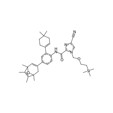 CC1=C(C)C2(C)CC(c3ccc(NC(=O)c4nc(C#N)cn4COCC[Si](C)(C)C)c(C4=CCC(C)(C)CC4)c3)=CC1(C)O2